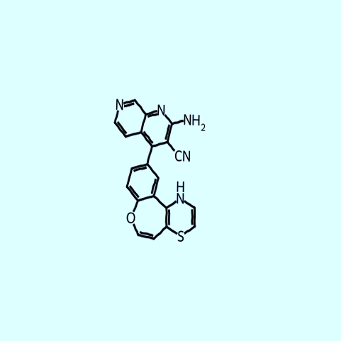 N#Cc1c(N)nc2cnccc2c1-c1ccc2occc3scc[nH]c=3c2c1